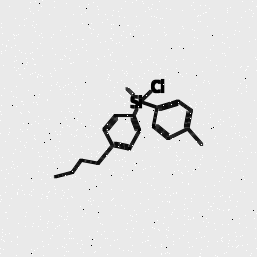 CCCCc1ccc([Si](C)(Cl)c2ccc(C)cc2)cc1